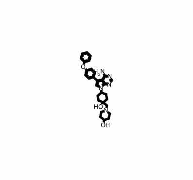 Nc1ncnc2c1c(-c1ccc(Oc3ccccc3)cc1)cn2C1CCC(O)(CN2CCC(O)CC2)CC1